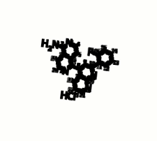 Cl.Nc1nccc2c(-c3cc(-c4ccccc4F)nc4ncccc34)nccc12